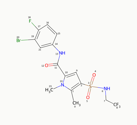 Cc1c(S(=O)(=O)NCC(F)(F)F)cc(C(=O)Nc2ccc(F)c(Br)c2)n1C